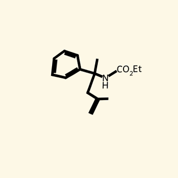 C=C(C)CC(C)(NC(=O)OCC)c1ccccc1